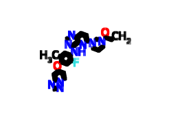 C=CC(=O)N1CCCN(c2ccc3ncnc(Nc4cc(C)c(Oc5ccn6ncnc6c5)cc4F)c3n2)C1